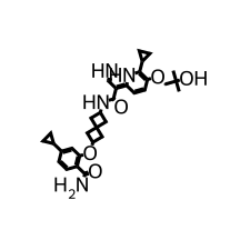 CC(C)(O)COC1=C(C2CC2)N/C(=C(\C=N)C(=O)NC2CC3(C2)CC(Oc2cc(C4CC4)ccc2C(N)=O)C3)C=C1